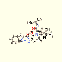 CC(C)C[C@H](NC(=O)c1cc2ccccc2[nH]1)C(=O)N1C[C@H]2[C@@H]([C@H]1C(=O)N[C@H](C#N)C(C)(C)C)C2(C)C